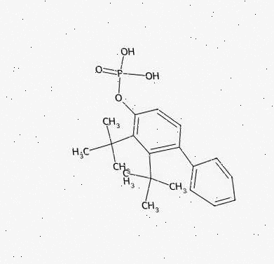 CC(C)(C)c1c(OP(=O)(O)O)ccc(-c2ccccc2)c1C(C)(C)C